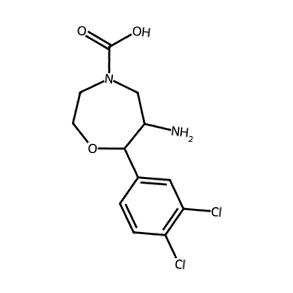 NC1CN(C(=O)O)CCOC1c1ccc(Cl)c(Cl)c1